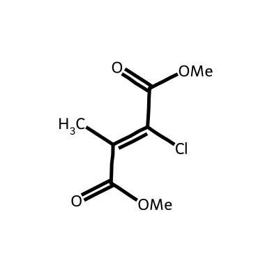 COC(=O)C(C)=C(Cl)C(=O)OC